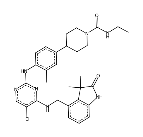 CCNC(=O)N1CCC(c2ccc(Nc3ncc(Cl)c(NCc4cccc5c4C(C)(C)C(=O)N5)n3)c(C)c2)CC1